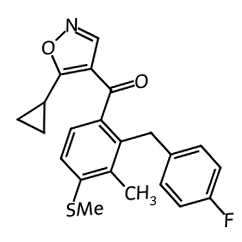 CSc1ccc(C(=O)c2cnoc2C2CC2)c(Cc2ccc(F)cc2)c1C